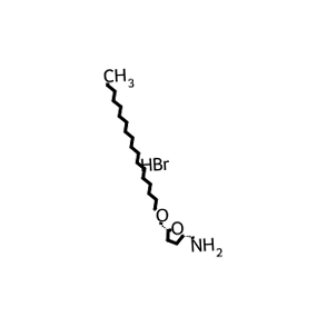 Br.CCCCCCCCCCCCCCCCCCOC[C@H]1CC[C@@H](CN)O1